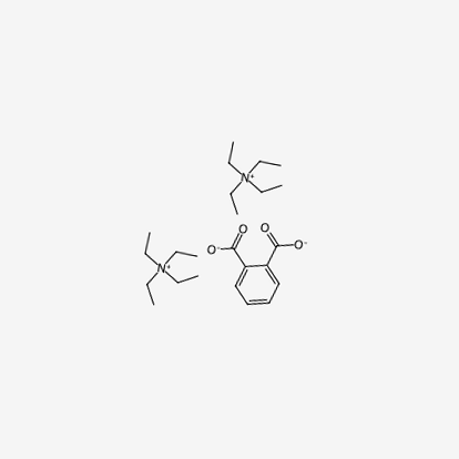 CC[N+](CC)(CC)CC.CC[N+](CC)(CC)CC.O=C([O-])c1ccccc1C(=O)[O-]